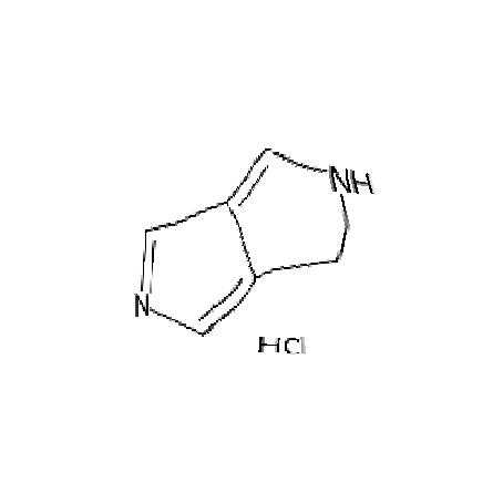 C1=NC=C2CNC=C12.Cl